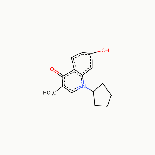 O=C(O)c1cn(C2CCCC2)c2cc(O)ccc2c1=O